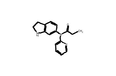 CCC(=O)N(c1ccc2c(c1)NCC2)c1ccccn1